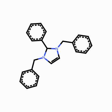 C1=CN(Cc2ccccc2)C(c2ccccc2)N1Cc1ccccc1